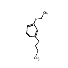 CCC[CH]c1cccc(OCC)c1